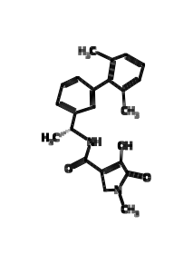 Cc1cccc(C)c1-c1cccc([C@@H](C)NC(=O)C2=C(O)C(=O)N(C)C2)c1